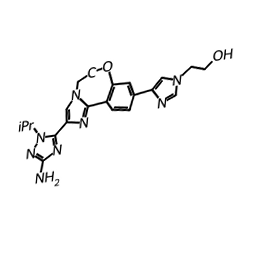 CC(C)n1nc(N)nc1-c1cn2c(n1)-c1ccc(-c3cn(CCO)cn3)cc1OCC2